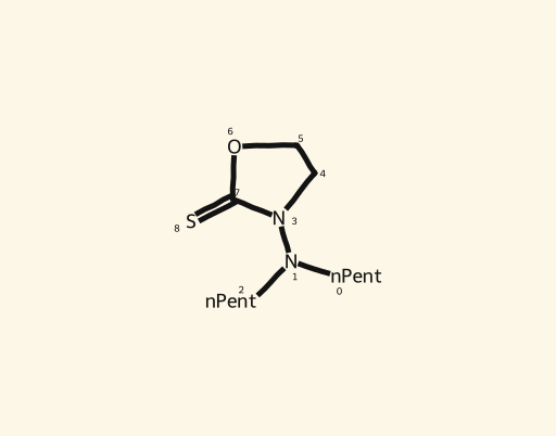 CCCCCN(CCCCC)N1CCOC1=S